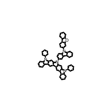 c1ccc(-n2c3ccccc3c3cc4c5cc6c7ccccc7n(-c7ccccc7)c6cc5n(-c5ccc6c(c5)c5ccccc5n6-c5ccc6c(c5)oc5ccccc56)c4cc32)cc1